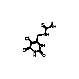 CNC(=S)NCc1[nH]c(=O)[nH]c(=O)c1Cl